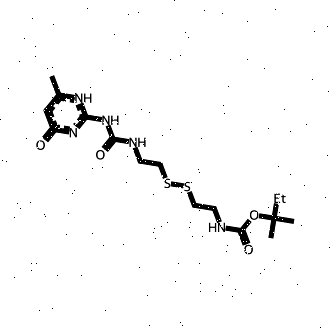 CCC(C)(C)OC(=O)NCCSSCCNC(=O)Nc1nc(=O)cc(C)[nH]1